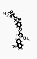 C[C@@H]1C[C@H](COc2ccc(S(=O)(=O)CCCS(C)(=O)=O)cc2)CN1[C@H]1CCc2c(C#N)cccc2C1